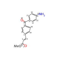 COC(=O)C=Cc1ccc(C(=O)c2ccc(N)cc2)cc1